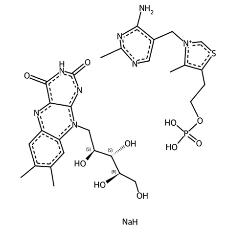 Cc1cc2nc3c(=O)[nH]c(=O)nc-3n(C[C@H](O)[C@H](O)[C@H](O)CO)c2cc1C.Cc1ncc(C[n+]2csc(CCOP(=O)(O)O)c2C)c(N)n1.[NaH]